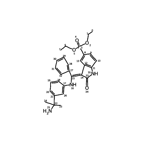 CCOP(=O)(OCC)c1ccc2c(c1)/C(=C(/Nc1cccc(C(C)(C)N)c1)c1ccccc1)C(=O)N2